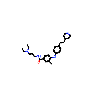 CCN(CC)CCCNC(=O)c1ccc(Nc2ccc(C=Cc3ccncc3)cc2)c(C)c1